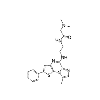 Cc1cnc2c(NCCNC(=O)CN(C)C)nc3cc(-c4ccccc4)sc3n12